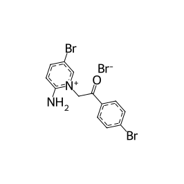 Nc1ccc(Br)c[n+]1CC(=O)c1ccc(Br)cc1.[Br-]